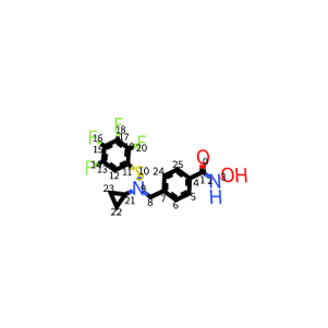 O=C(NO)c1ccc(CN(Sc2cc(F)c(F)c(F)c2F)C2CC2)cc1